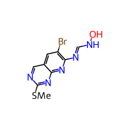 CSc1ncc2cc(Br)c(/N=C/NO)nc2n1